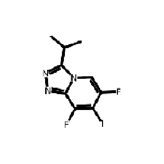 CC(C)c1nnc2c(F)c(I)c(F)cn12